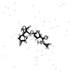 Cc1onc(-c2ccc(F)cn2)c1COc1ccc(C(=O)NC2CC2)cn1